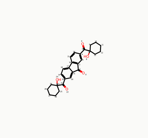 O=C1c2cc(C(=O)C3(O)CCCCC3)ccc2-c2ccc(C(=O)C3(O)CCCCC3)cc21